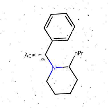 CCCC1CCCCN1[C@H](C(C)=O)c1ccccc1